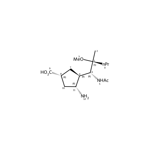 CCC[C@](C)(OC)[C@H](NC(C)=O)[C@@H]1C[C@@H](C(=O)O)C[C@H]1N